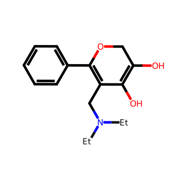 CCN(CC)CC1=C(c2ccccc2)OCC(O)=C1O